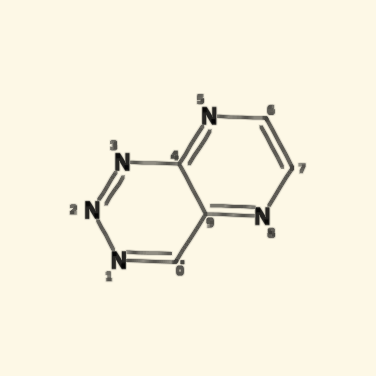 [c]1nnnc2nccnc12